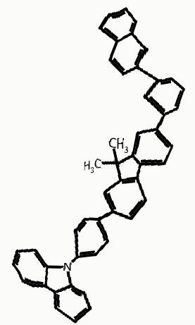 CC1(C)c2cc(-c3ccc(-n4c5ccccc5c5ccccc54)cc3)ccc2-c2ccc(-c3cccc(-c4ccc5ccccc5c4)c3)cc21